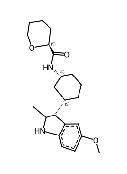 COc1ccc2c(c1)C([C@H]1CCC[C@@H](NC(=O)[C@@H]3CCCCO3)C1)C(C)N2